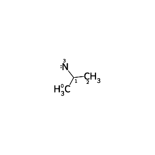 CC(C)[N]